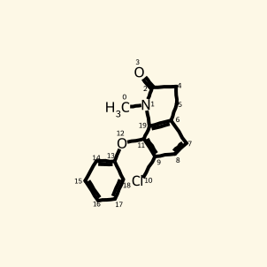 CN1C(=O)CCc2ccc(Cl)c(Oc3ccccc3)c21